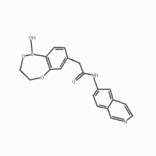 O=C(Cc1ccc2c(c1)OCCOB2O)Nc1ccc2cnccc2c1